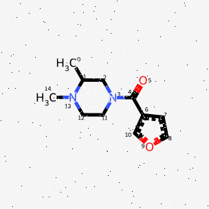 CC1CN(C(=O)c2ccoc2)CCN1C